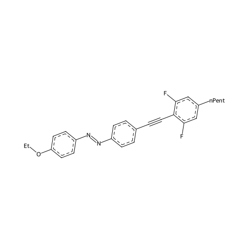 CCCCCc1cc(F)c(C#Cc2ccc(N=Nc3ccc(OCC)cc3)cc2)c(F)c1